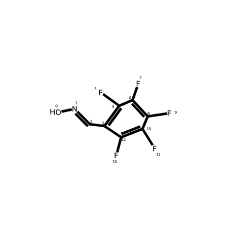 ON=Cc1c(F)c(F)c(F)c(F)c1F